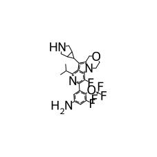 CC(C)c1nc(-c2cc(N)cc(F)c2OC(F)(F)F)c(F)c2c1c(C1C3CNCC31)c1n2CCOC1